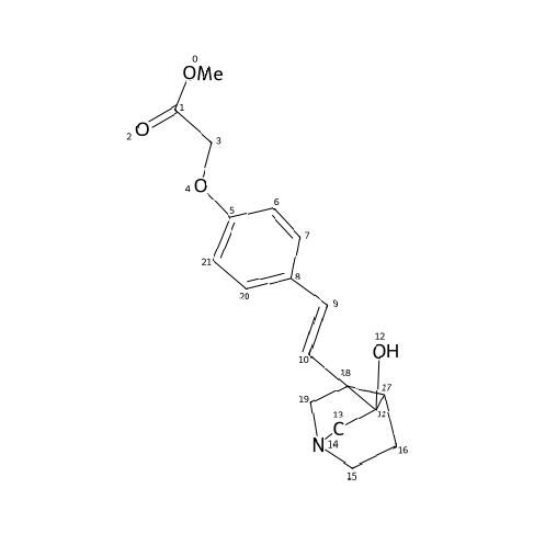 COC(=O)COc1ccc(C=CC2(O)CN3CCC2CC3)cc1